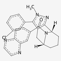 Cn1nc2c(c1-c1cccc(Cl)c1)C[C@H]1CCC[C@@H]2N1C(=O)c1ccc2nccnc2c1